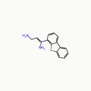 NC/C=C(\N)c1cccc2c1sc1ccccc12